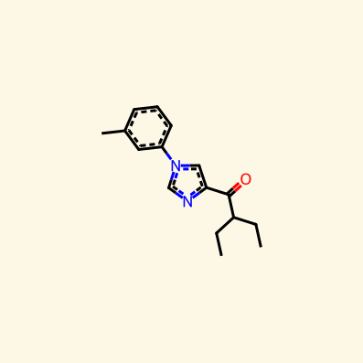 CCC(CC)C(=O)c1cn(-c2cccc(C)c2)cn1